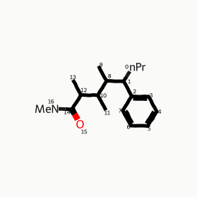 CCCC(c1ccccc1)C(C)C(C)C(C)C(=O)NC